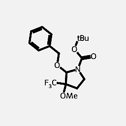 COC1(C(F)(F)F)CCN(C(=O)OC(C)(C)C)C1OCc1ccccc1